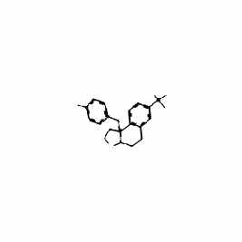 CC(F)(c1ccc2c(c1)CCC1NCCC21Cc1ccc(Br)cc1)C(F)(F)F